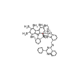 Bc1c(B)c(B)c2c(c1B)c1c(B)c(B)c(B)c(B)c1n2-c1ccccc1-c1ccc2oc3cccc(C/N=C(\N=C(/N)c4ccccc4)c4ccccc4)c3c2c1